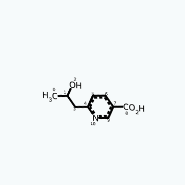 CC(O)Cc1ccc(C(=O)O)cn1